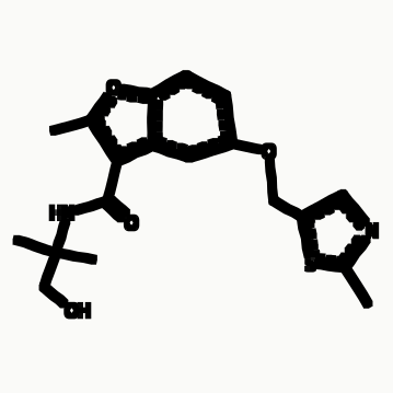 Cc1ncc(COc2ccc3oc(C)c(C(=O)NC(C)(C)CO)c3c2)s1